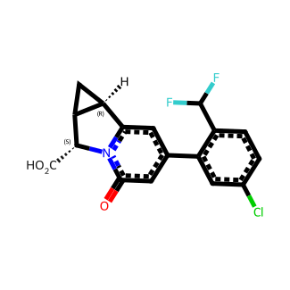 O=C(O)[C@@H]1C2C[C@H]2c2cc(-c3cc(Cl)ccc3C(F)F)cc(=O)n21